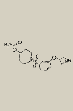 NC(=O)OC1CCN(S(=O)(=O)c2cccc(OC3CNC3)c2)CC1